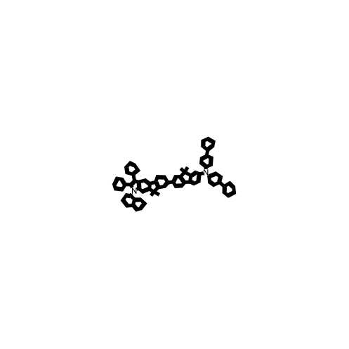 CC1(C)c2cc(-c3ccc4c(c3)C(C)(C)c3cc5c(cc3-4)c(-c3ccccc3)c(-c3ccccc3)n5-c3cccc4ccccc34)ccc2-c2ccc(N(c3ccc(-c4ccccc4)cc3)c3ccc(-c4ccccc4)cc3)cc21